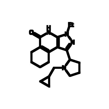 CCn1nc(C2CCCN2CC2CC2)c2c3c(c(=O)[nH]c21)CCCC3